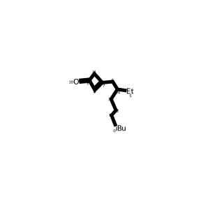 CCC(C)CCCC(CC)CC1=CC(=O)C1